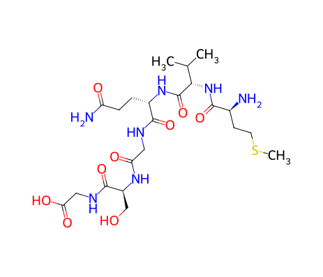 CSCC[C@H](N)C(=O)N[C@H](C(=O)N[C@@H](CCC(N)=O)C(=O)NCC(=O)N[C@@H](CO)C(=O)NCC(=O)O)C(C)C